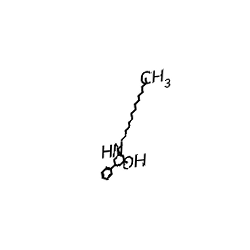 CCCCCCCCCCCCCCCCNC1CC(O)CC(c2ccccc2)C1